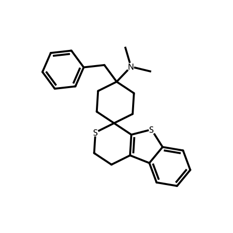 CN(C)C1(Cc2ccccc2)CCC2(CC1)SCCc1c2sc2ccccc12